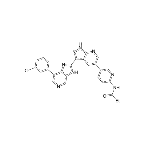 CCC(=O)Nc1ccc(-c2cnc3[nH]nc(-c4nc5c(-c6cccc(Cl)c6)cncc5[nH]4)c3c2)cn1